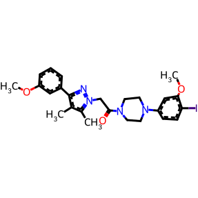 COc1cccc(-c2nn(CC(=O)N3CCN(c4ccc(I)c(OC)c4)CC3)c(C)c2C)c1